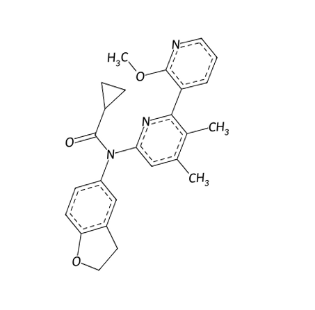 COc1ncccc1-c1nc(N(C(=O)C2CC2)c2ccc3c(c2)CCO3)cc(C)c1C